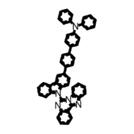 c1ccc(N(c2ccccc2)c2ccc(-c3ccc(-c4ccc5c(c4)c4ccccc4n5-c4nc5ccccc5c5nc6ccccc6n45)cc3)cc2)cc1